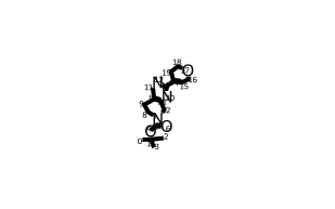 CC(C)(C)OC(=O)N1CCc2cnc(C3=CCOCC3)nc2C1